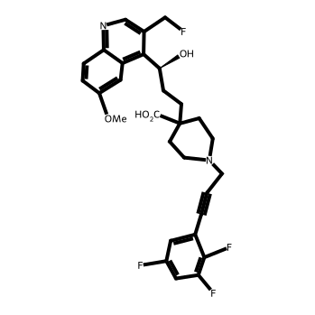 COc1ccc2ncc(CF)c([C@@H](O)CCC3(C(=O)O)CCN(CC#Cc4cc(F)cc(F)c4F)CC3)c2c1